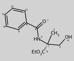 CCOC(=O)[C@](C)(CO)NC(=O)c1ccccc1